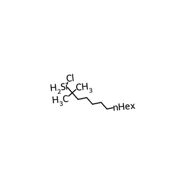 CCCCCCCCCCCC(C)(C)[SiH2]Cl